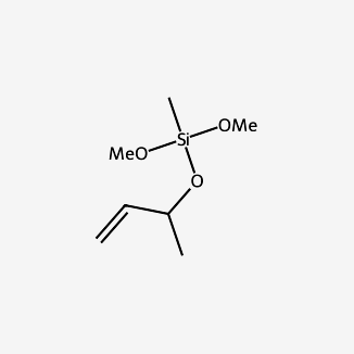 C=CC(C)O[Si](C)(OC)OC